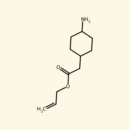 C=CCOC(=O)CC1CCC(N)CC1